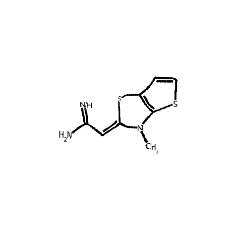 CN1/C(=C/C(=N)N)Sc2ccsc21